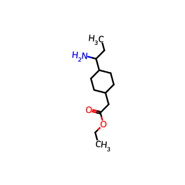 CCOC(=O)CC1CCC(C(N)CC)CC1